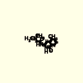 Cc1cccc2c(=O)[nH]c(NC(=O)CN(C)C)cc12